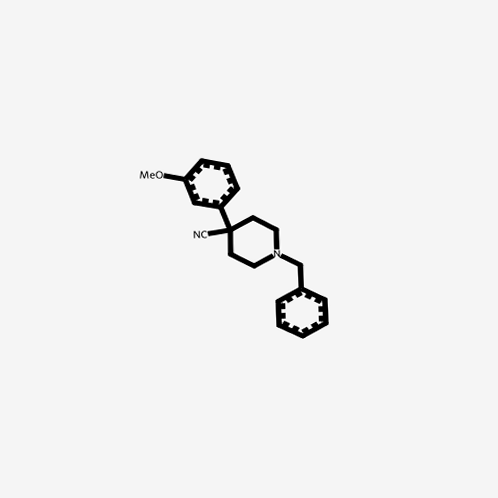 COc1cccc(C2(C#N)CCN(Cc3ccccc3)CC2)c1